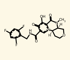 CN1C(=O)c2c(O)c(=O)c(C(=O)NCc3c(F)cc(F)cc3F)cn2[C@@H]2CCOC[C@@H]21